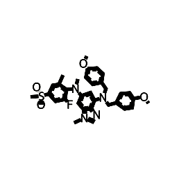 COc1ccc(CN(Cc2ccc(OC)cc2)c2cc(N(C)c3c(C)cc(S(C)(=O)=O)cc3F)cc3c2ncn3C)cc1